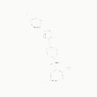 COc1ccc(Cl)cc1S(=O)(=O)N1CCN(c2nc(-c3ccc(Cl)cc3)cs2)CC1